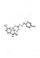 CC(=O)c1ncc(OCCN2CCC3(CC2)C(=O)Nc2ccc(Cl)cc23)cn1